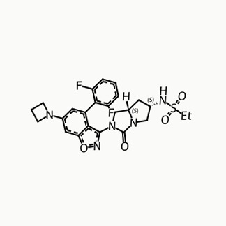 CCS(=O)(=O)N[C@H]1C[C@H]2CN(c3noc4cc(N5CCC5)cc(-c5c(F)cccc5F)c34)C(=O)N2C1